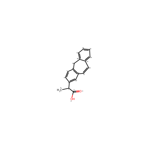 CC(C(=O)O)c1ccc2c(c1)C=Cc1ccccc1C2